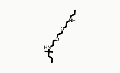 CCCNCCOCCOCCNC(C)(C)CCC